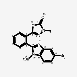 Cn1nc(-c2ccccc2-c2nc3cc(Br)ccc3n2C(C)(C)C)oc1=O